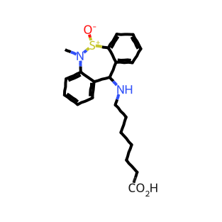 CN1c2ccccc2C(NCCCCCCC(=O)O)c2ccccc2[S+]1[O-]